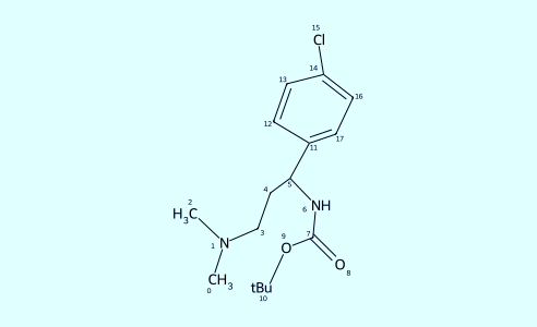 CN(C)CCC(NC(=O)OC(C)(C)C)c1ccc(Cl)cc1